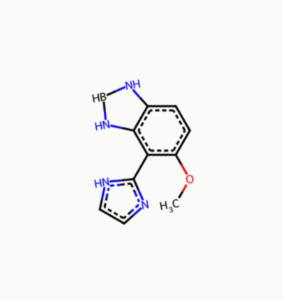 COc1ccc2c(c1-c1ncc[nH]1)NBN2